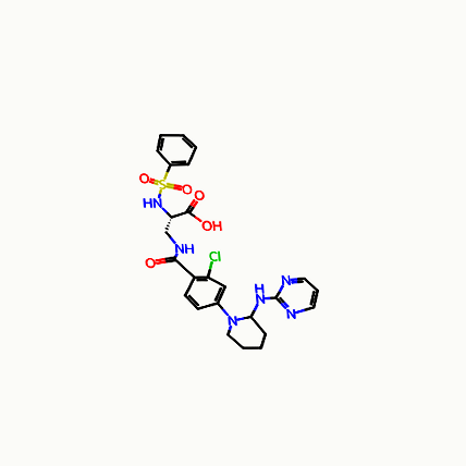 O=C(NC[C@H](NS(=O)(=O)c1ccccc1)C(=O)O)c1ccc(N2CCCCC2Nc2ncccn2)cc1Cl